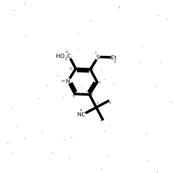 CCSc1cc(C(C)(C)C#N)cnc1C(=O)O